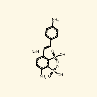 Nc1ccc(C=Cc2ccc(N)c(S(=O)(=O)O)c2S(=O)(=O)O)cc1.[NaH]